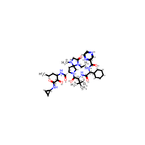 CCCC(NC(=O)[C@@H]1CC2(CN1C(=O)[C@@H](NC(=O)[C@@H](NC(=O)c1cnccn1)C1CCCCC1)C(C)(C)C)N(C)CC(=O)N2CC)C(=O)C(=O)NC1CC1